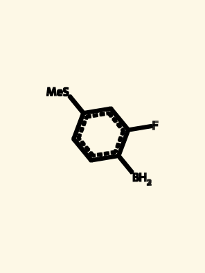 Bc1ccc(SC)cc1F